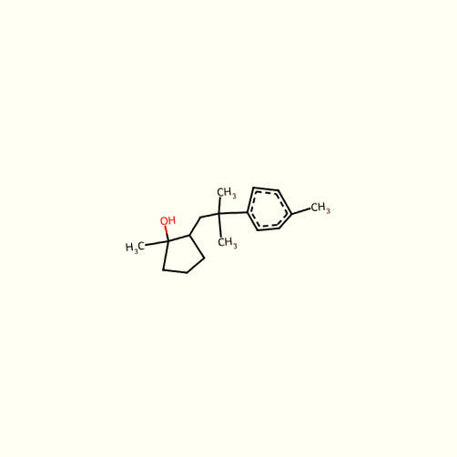 Cc1ccc(C(C)(C)CC2CCCC2(C)O)cc1